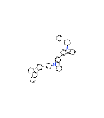 C1=CC2=C3CCCC4C3=C(CC2C=C1)c1cc(C2=CCC(n3c5ccccc5c5cc(-c6ccc7c(c6)c6ccccc6n7C6CC=CC(c7ccccc7)C6)ccc53)C=C2)ccc14